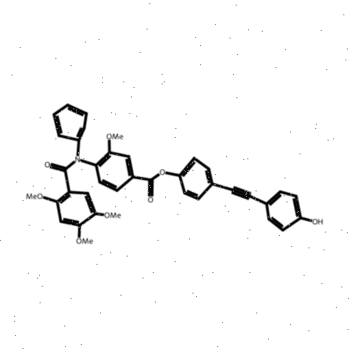 COc1cc(OC)c(C(=O)N(c2ccccc2)c2ccc(C(=O)Oc3ccc(C#Cc4ccc(O)cc4)cc3)cc2OC)cc1OC